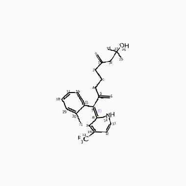 C=C(CCCC(=C)/C(=C1/C=C(C(F)(F)F)C=CN1)c1ccccc1C)CC(C)(C)O